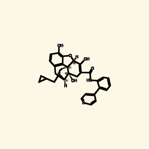 O=C(Nc1ccccc1-c1ccncc1)C1=C(O)[C@@H]2Oc3c(O)ccc4c3[C@@]23CCN(CC2CC2)[C@H](C4)[C@]3(O)C1